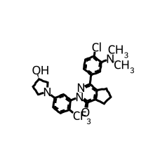 CN(C)c1cc(-c2nn(-c3cc(N4CC[C@H](O)C4)ccc3C(F)(F)F)c(=O)c3c2CCC3)ccc1Cl